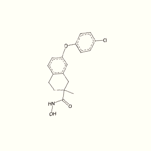 CC1(C(=O)NO)CCc2ccc(Oc3ccc(Cl)cc3)cc2C1